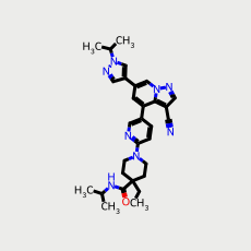 CCC1(C(=O)NC(C)C)CCN(c2ccc(-c3cc(-c4cnn(C(C)C)c4)cn4ncc(C#N)c34)cn2)CC1